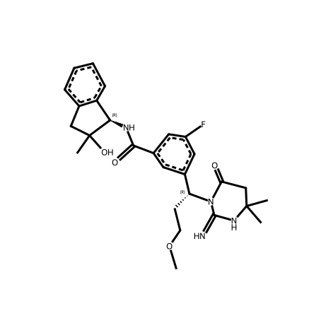 COCC[C@H](c1cc(F)cc(C(=O)N[C@@H]2c3ccccc3CC2(C)O)c1)N1C(=N)NC(C)(C)CC1=O